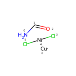 NC=O.[Cl][Ni][Cl].[Cu]